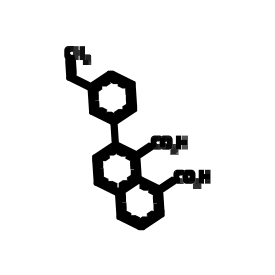 C=Cc1cccc(-c2ccc3cccc(C(=O)O)c3c2C(=O)O)c1